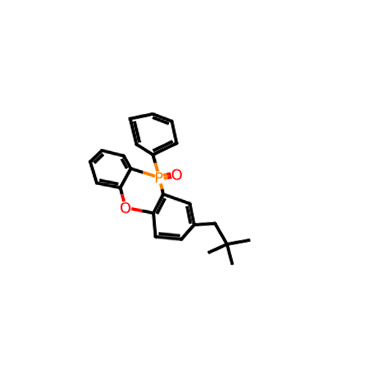 CC(C)(C)Cc1ccc2c(c1)P(=O)(c1ccccc1)c1ccccc1O2